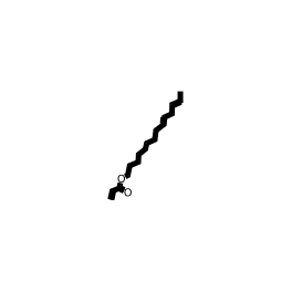 C=CC(=O)OCCCCCCCCC=CCC=CC